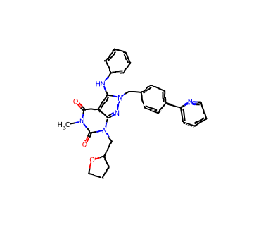 Cn1c(=O)c2c(Nc3ccccc3)n(Cc3ccc(-c4ccccn4)cc3)nc2n(CC2CCCO2)c1=O